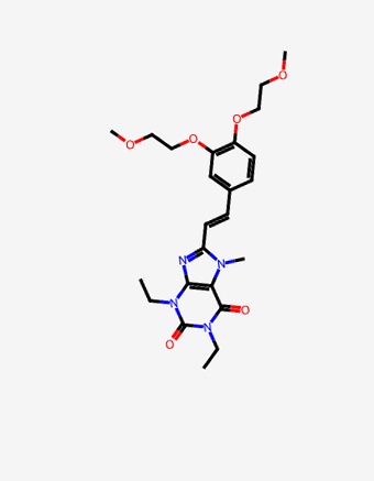 CCn1c(=O)c2c(nc(/C=C/c3ccc(OCCOC)c(OCCOC)c3)n2C)n(CC)c1=O